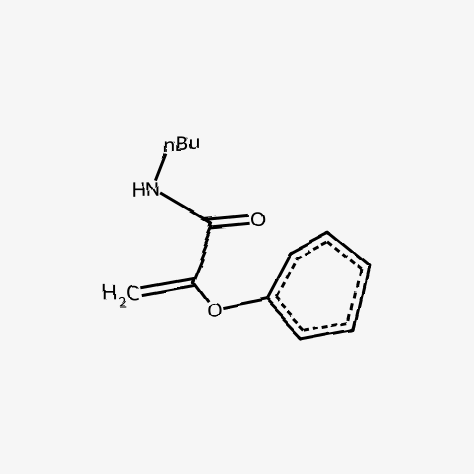 C=C(Oc1ccccc1)C(=O)NCCCC